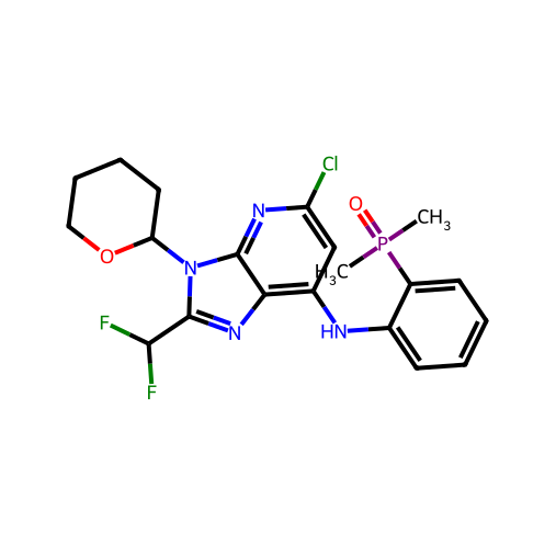 CP(C)(=O)c1ccccc1Nc1cc(Cl)nc2c1nc(C(F)F)n2C1CCCCO1